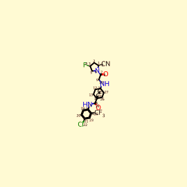 N#C[C@@H]1C[C@H](F)CN1C(=O)CNC12CCC(C(=O)Nc3ccc(Cl)cc3C(F)(F)F)(CC1)CC2